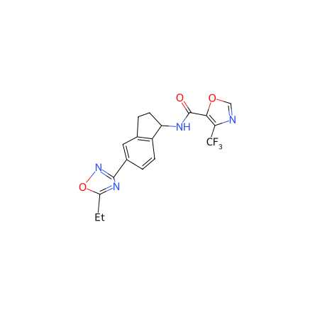 CCc1nc(-c2ccc3c(c2)CCC3NC(=O)c2ocnc2C(F)(F)F)no1